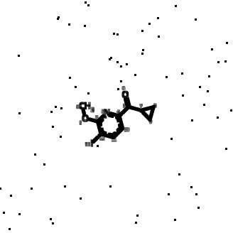 COc1nc(C(=O)C2CC2)ccc1I